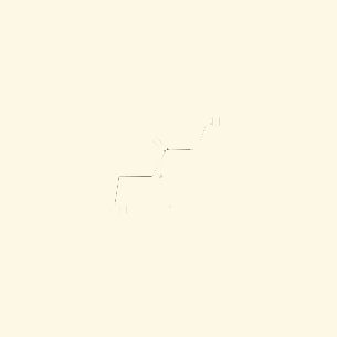 BOC(=O)[C@H](Br)CC